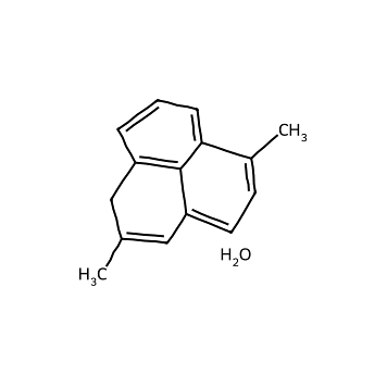 CC1=Cc2ccc(C)c3cccc(c23)C1.O